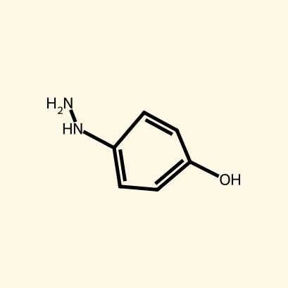 NNc1ccc(O)cc1